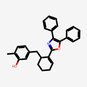 Cc1ccc(CC2CCCC=C2c2nc(-c3ccccc3)c(-c3ccccc3)o2)cc1O